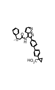 C[C@@H](CC(=O)Nc1c(-c2ccc(-c3ccc(C4(C(=O)O)CC4)cc3)cc2)nn2ncccc12)c1ccccc1